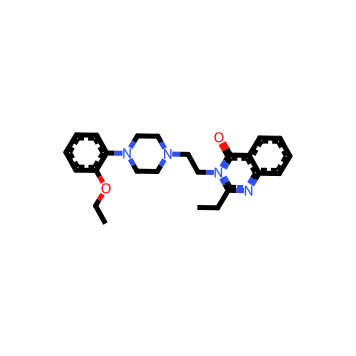 CCOc1ccccc1N1CCN(CCn2c(CC)nc3ccccc3c2=O)CC1